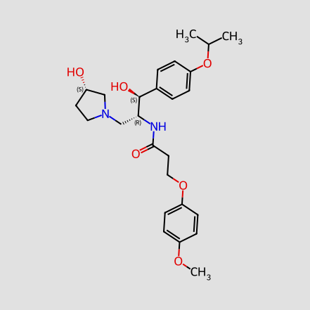 COc1ccc(OCCC(=O)N[C@H](CN2CC[C@H](O)C2)[C@@H](O)c2ccc(OC(C)C)cc2)cc1